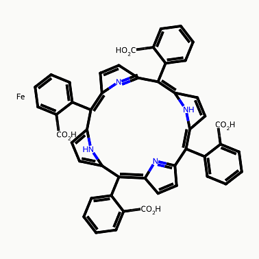 O=C(O)c1ccccc1-c1c2nc(c(-c3ccccc3C(=O)O)c3ccc([nH]3)c(-c3ccccc3C(=O)O)c3nc(c(-c4ccccc4C(=O)O)c4ccc1[nH]4)C=C3)C=C2.[Fe]